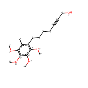 COc1c(C)c(CCCCC#CCO)c(OC)c(OC)c1OC